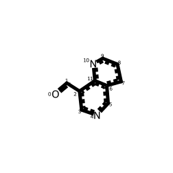 O=[C]c1cncc2cccnc12